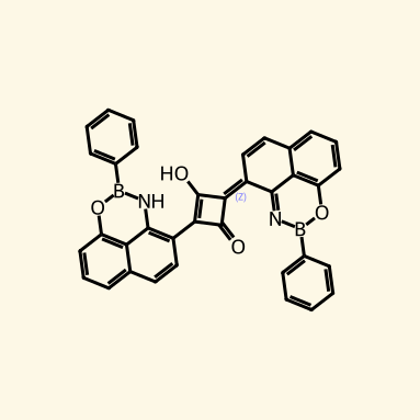 O=C1C(c2ccc3cccc4c3c2NB(c2ccccc2)O4)=C(O)/C1=c1\ccc2cccc3c2c1=NB(c1ccccc1)O3